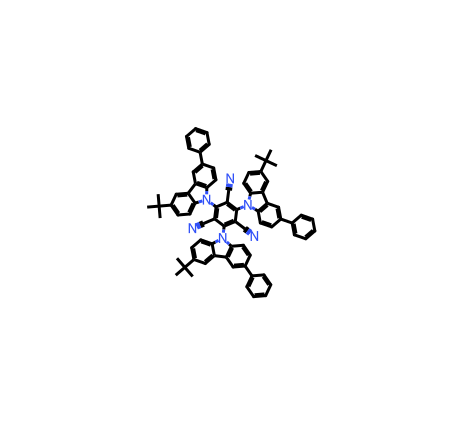 CC(C)(C)c1ccc2c(c1)c1cc(-c3ccccc3)ccc1n2-c1c(C#N)c(-n2c3ccc(-c4ccccc4)cc3c3cc(C(C)(C)C)ccc32)c(C#N)c(-n2c3ccc(-c4ccccc4)cc3c3cc(C(C)(C)C)ccc32)c1C#N